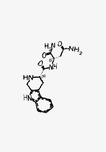 NC(=O)C[C@H](NC(=O)[C@@H]1Cc2c([nH]c3ccccc23)CN1)C(N)=O